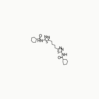 O=C(Nc1nnc(CCCCc2nnc(NC(=O)C3CCCCC3)s2)s1)C1CCCCC1